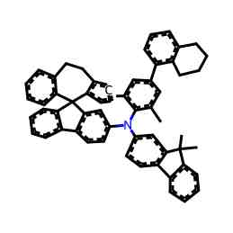 Cc1cc(-c2cccc3c2CCCC3)cc(C)c1N(c1ccc2c(c1)C(C)(C)c1ccccc1-2)c1ccc2c(c1)C1(c3ccccc3CCc3ccccc31)c1ccccc1-2